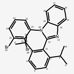 CC(C)c1cccc(C(C)C)c1-c1nc2ccccc2n1-c1cccc(Br)c1Br